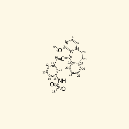 COc1cccc2c1C(=C=Cc1cccc(NS(C)(=O)=O)c1)c1ccccc1CC2